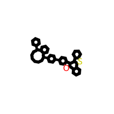 c1ccc(-c2ccccccc(-c3ccc(-c4ccc5c(c4)oc4c6ccccc6c6sc7ccccc7c6c54)cc3)c3ccccc23)cc1